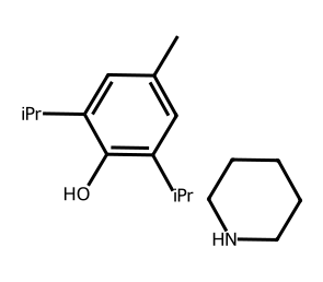 C1CCNCC1.Cc1cc(C(C)C)c(O)c(C(C)C)c1